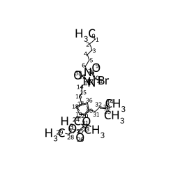 CCCCCCCn1c(=O)c(Br)nn(CCCc2ccc(OC(C)(C)C(=O)OCC)c(CC=C(C)C)c2)c1=O